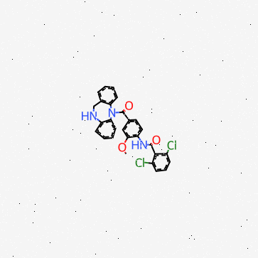 COc1cc(C(=O)N2c3ccccc3CNc3ccccc32)ccc1NC(=O)c1c(Cl)cccc1Cl